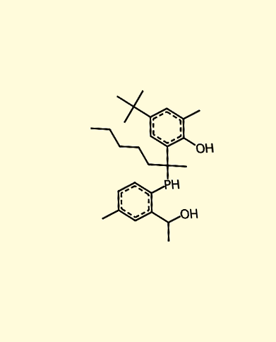 CCCCCC(C)(Pc1ccc(C)cc1C(C)O)c1cc(C(C)(C)C)cc(C)c1O